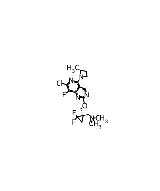 C[C@H]1CCN1c1nc(Cl)c(F)c2nc(OC[C@]3(CN(C)C)CC3(F)F)ncc12